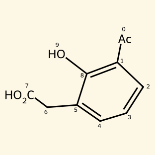 CC(=O)c1cccc(CC(=O)O)c1O